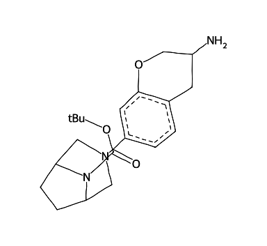 CC(C)(C)OC(=O)N1C2CCC1CN(c1ccc3c(c1)OCC(N)C3)C2